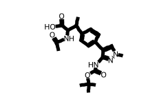 CC(=O)NC(C(=O)O)C(C)c1ccc(-c2cn(C)nc2NC(=O)OC(C)(C)C)cc1